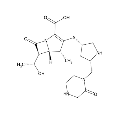 C[C@@H](O)[C@H]1C(=O)N2C(C(=O)O)=C(S[C@@H]3CN[C@H](CN4CCNCC4=O)C3)[C@H](C)[C@H]12